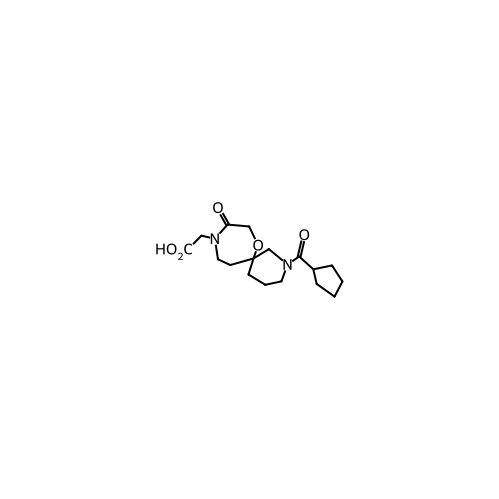 O=C(O)CN1CCC2(CCCN(C(=O)C3CCCC3)C2)OCC1=O